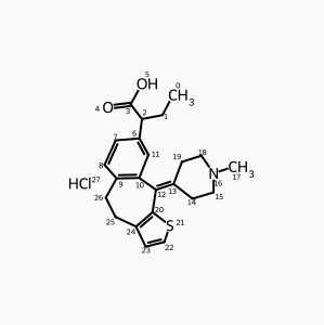 CCC(C(=O)O)c1ccc2c(c1)C(=C1CCN(C)CC1)c1sccc1CC2.Cl